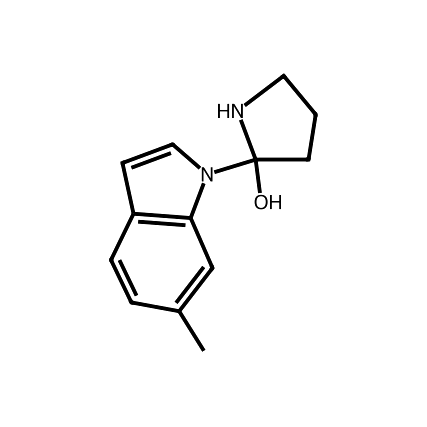 Cc1ccc2ccn(C3(O)CCCN3)c2c1